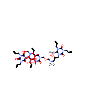 C=CCN(C)C(=O)N(CC=C)C(=O)N(CO)CC(O)CN(COCN(C=O)CC(O)CN1C(=O)N(CC=C)C(=O)N(CC=C)C1OC)C(=O)N(C)CC(O)Cn1c(=O)n(CC=C)c(=O)n(CC=C)c1=O